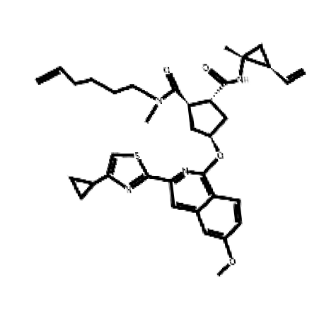 C=CCCCCN(C)C(=O)[C@@H]1C[C@H](Oc2nc(-c3nc(C4CC4)cs3)cc3cc(OC)ccc23)C[C@H]1C(=O)N[C@]1(C)C[C@H]1C=C